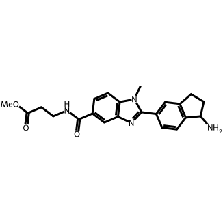 COC(=O)CCNC(=O)c1ccc2c(c1)nc(-c1ccc3c(c1)CCC3N)n2C